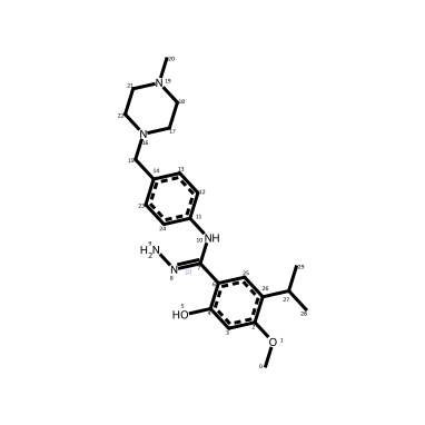 COc1cc(O)c(/C(=N/N)Nc2ccc(CN3CCN(C)CC3)cc2)cc1C(C)C